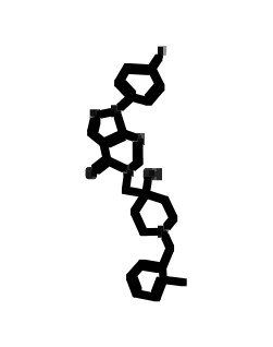 Cc1ccccc1CN1CCC(O)(Cn2cnc3c(cnn3-c3ccc(F)cc3)c2=O)CC1